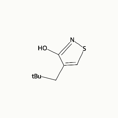 CC(C)(C)Cc1csnc1O